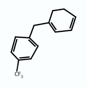 FC(F)(F)c1ccc(CC2=CC=CCC2)cc1